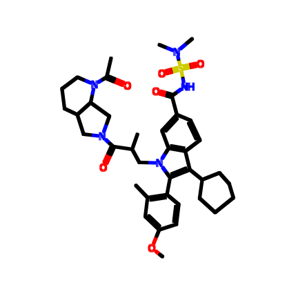 COc1ccc(-c2c(C3CCCCC3)c3ccc(C(=O)NS(=O)(=O)N(C)C)cc3n2CC(C)C(=O)N2CC3CCCN(C(C)=O)C3C2)c(C)c1